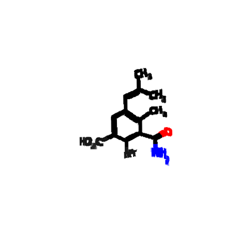 CCCc1c(C(=O)O)cc(C=C(C)C)c(C)c1C(N)=O